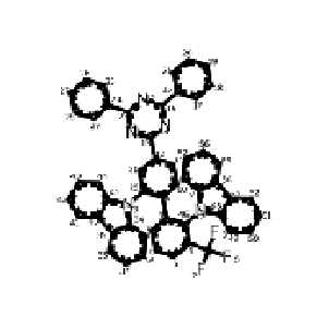 FC(F)(F)c1cccc(-c2ccc(-c3nc(-c4ccccc4)nc(-c4ccccc4)n3)cc2-n2c3ccccc3c3ccccc32)c1-n1c2ccccc2c2ccccc21